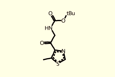 Cc1scnc1C(=O)CNC(=O)OC(C)(C)C